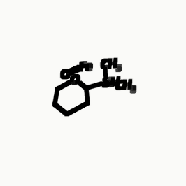 C[SiH](C)C1CCCCO1.[O]=[Fe]